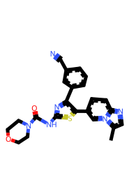 Cc1cnc2ccc(-c3sc(NC(=O)N4CCOCC4)nc3-c3cccc(C#N)c3)cn12